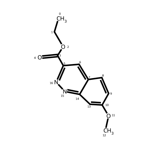 CCOC(=O)c1cc2ccc(OC)cc2nn1